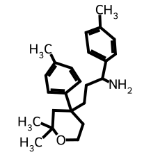 Cc1ccc(C(N)CCC2(c3ccc(C)cc3)CCOC(C)(C)C2)cc1